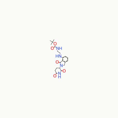 CC(C)(C)OC(=O)NCCNc1cccc2c1C(=O)N(C1CCC(=O)NC1=O)C2